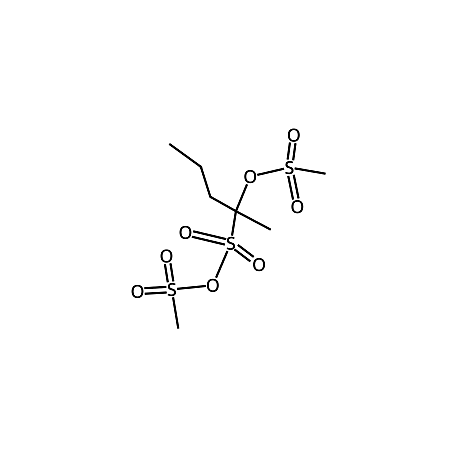 CCCC(C)(OS(C)(=O)=O)S(=O)(=O)OS(C)(=O)=O